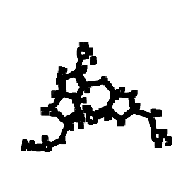 COCc1nn2c(CN3CC(CC(F)(F)F)CC3=O)c(C(F)(F)F)nc2s1